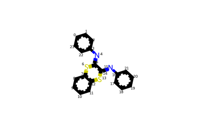 c1ccc(/N=c2\sc3ccccc3s\c2=N/c2ccccc2)cc1